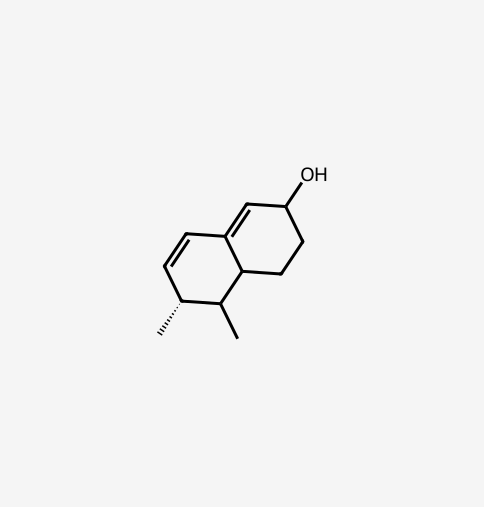 CC1C2CCC(O)C=C2C=C[C@H]1C